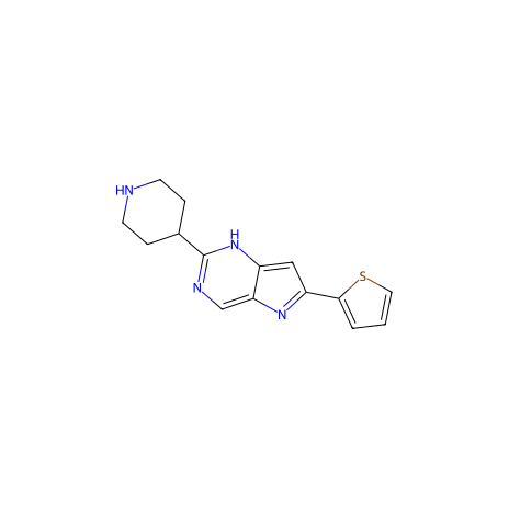 c1csc(-c2cc3[nH]c(C4CCNCC4)ncc-3n2)c1